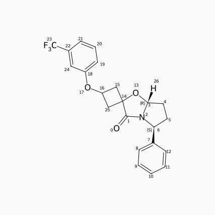 O=C1N2[C@@H](CC[C@H]2c2ccccc2)OC12CC(Oc1cccc(C(F)(F)F)c1)C2